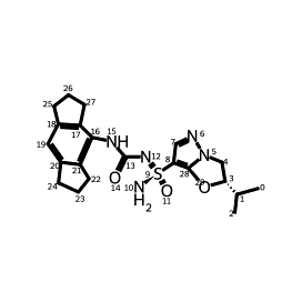 CC(C)[C@H]1Cn2ncc([S@](N)(=O)=NC(=O)Nc3c4c(cc5c3CCC5)CCC4)c2O1